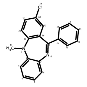 CN1c2ccccc2N=C(c2ccccc2)c2cc(Cl)ccc21